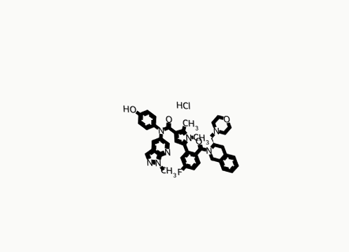 Cc1c(C(=O)N(c2ccc(O)cc2)c2cnc3c(cnn3C)c2)cc(-c2cc(F)ccc2C(=O)N2Cc3ccccc3C[C@H]2CN2CCOCC2)n1C.Cl